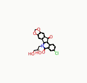 O=C1c2cc3c(cc2-c2c1c1ccc(Cl)cc1c(=O)n2C[C@H](O)CO)OCO3